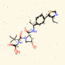 CCc1ncsc1-c1ccc([C@H](C)NC(=O)[C@@H]2C[C@@H](O)CN2C(=O)C(NC(=O)O)C(C)(C)C)cc1